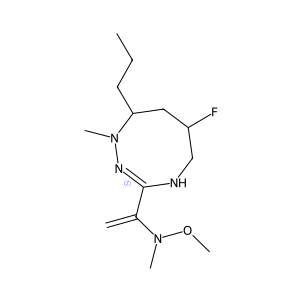 C=C(/C1=N/N(C)C(CCC)CC(F)CN1)N(C)OC